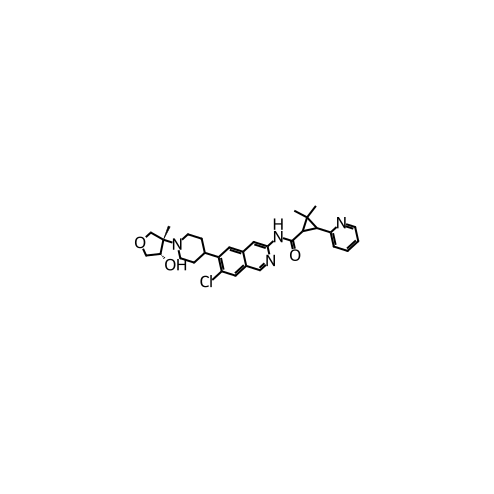 CC1(C)C(C(=O)Nc2cc3cc(C4CCN([C@@]5(C)COC[C@H]5O)CC4)c(Cl)cc3cn2)C1c1ccccn1